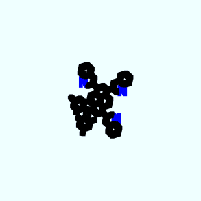 Cc1cc(C)c(B(c2c(C)cc(C)cc2C)c2cc(-c3cnc4ccccc4c3)c3ccc4c(-c5cnc6ccccc6c5)cc(-c5cnc6ccccc6c5)c5ccc2c3c54)c(C)c1